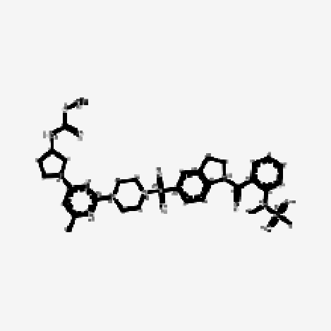 Cc1cc(N2CC[C@@H](NC(=O)OC(C)(C)C)C2)nc(N2CCN(S(=O)(=O)c3ccc4c(c3)CCN4C(=O)c3ccccc3N(C)S(C)(=O)=O)CC2)n1